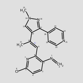 C=Nc1ccc(Cl)nc1/C=C(\C)c1cn(C)nc1-c1ccncc1